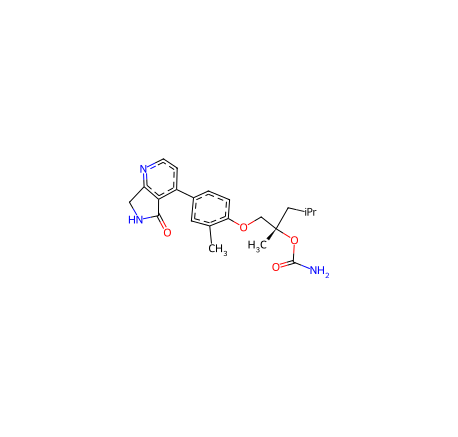 Cc1cc(-c2ccnc3c2C(=O)NC3)ccc1OC[C@](C)(CC(C)C)OC(N)=O